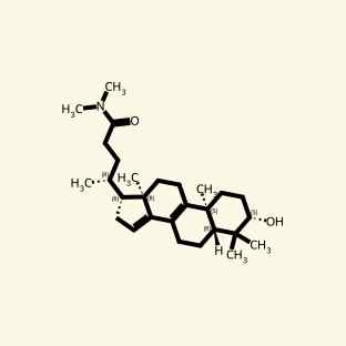 C[C@H](CCC(=O)N(C)C)[C@H]1CC=C2C3=C(CC[C@@]21C)[C@@]1(C)CC[C@H](O)C(C)(C)[C@@H]1CC3